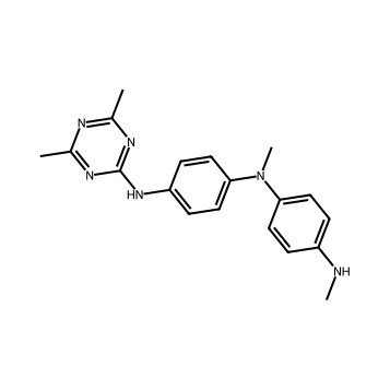 CNc1ccc(N(C)c2ccc(Nc3nc(C)nc(C)n3)cc2)cc1